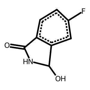 O=C1NC(O)c2cc(F)ccc21